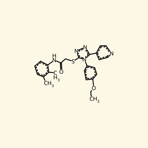 CCOc1ccc(-n2c(SCC(=O)Nc3cccc(C)c3C)nnc2-c2ccncc2)cc1